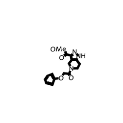 COC(=O)c1n[nH]c2c1CN(C(=O)COc1ccccc1)CC2